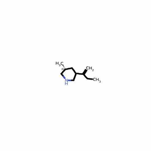 C=C(CC)C1CNC[C@H](C)C1